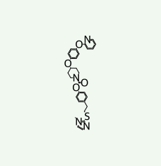 Cn1ccnc1SCCc1ccc(OC(=O)N2CCC(Oc3ccc(Oc4ccccn4)cc3)CC2)cc1